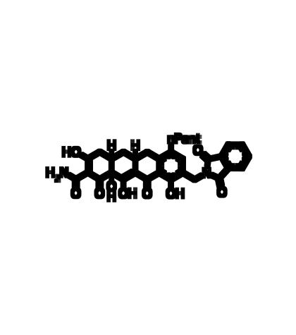 CCCCCc1cc(CN2C(=O)c3ccccc3C2=O)c(O)c2c1C[C@H]1C[C@H]3CC(O)=C(C(N)=O)C(=O)[C@@]3(O)C(O)=C1C2=O